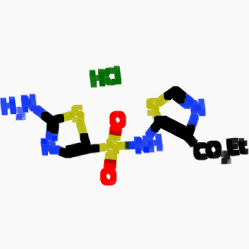 CCOC(=O)c1ncsc1NS(=O)(=O)c1cnc(N)s1.Cl